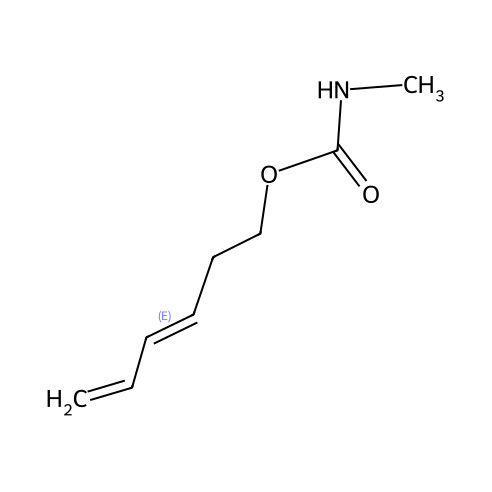 C=C/C=C/CCOC(=O)NC